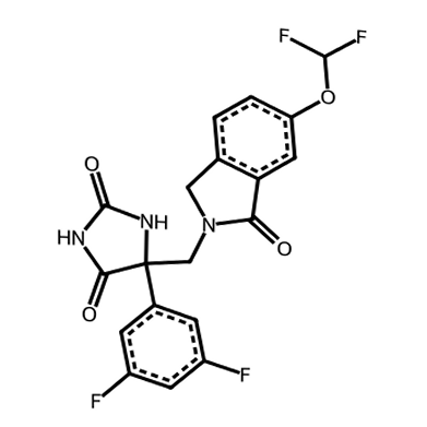 O=C1NC(=O)C(CN2Cc3ccc(OC(F)F)cc3C2=O)(c2cc(F)cc(F)c2)N1